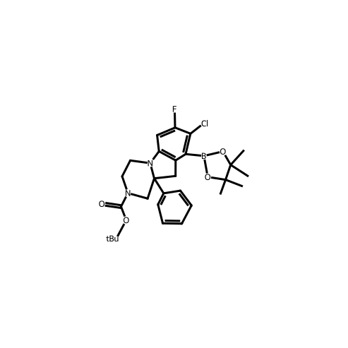 CC(C)(C)OC(=O)N1CCN2c3cc(F)c(Cl)c(B4OC(C)(C)C(C)(C)O4)c3CC2(c2ccccc2)C1